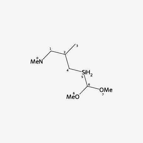 CNCC(C)C[SiH2]C(OC)OC